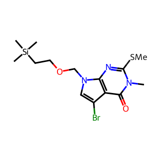 CSc1nc2c(c(Br)cn2COCC[Si](C)(C)C)c(=O)n1C